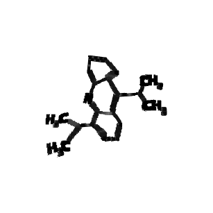 CC(C)c1c2ccccc2nc2c(C(C)C)cccc12